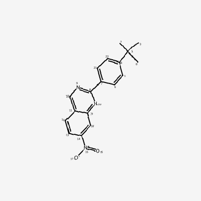 CC(C)(C)c1ccc(-c2ncc3ccc([N+](=O)[O-])cc3n2)cc1